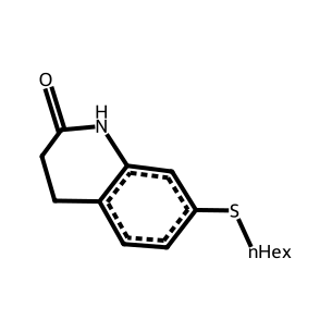 CCCCCCSc1ccc2c(c1)NC(=O)CC2